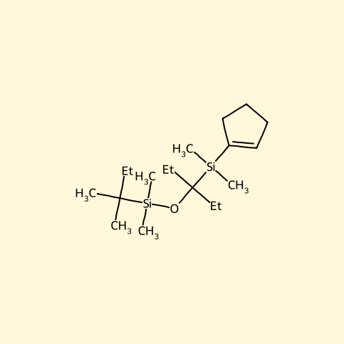 CCC(C)(C)[Si](C)(C)OC(CC)(CC)[Si](C)(C)C1=CCCC1